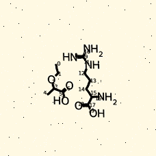 CCOC(C)C(=O)O.N=C(N)NCCCC(N)C(=O)O